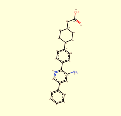 Nc1cc(-c2ccccc2)cnc1-c1ccc(C2CCC(CC(=O)O)CC2)cc1